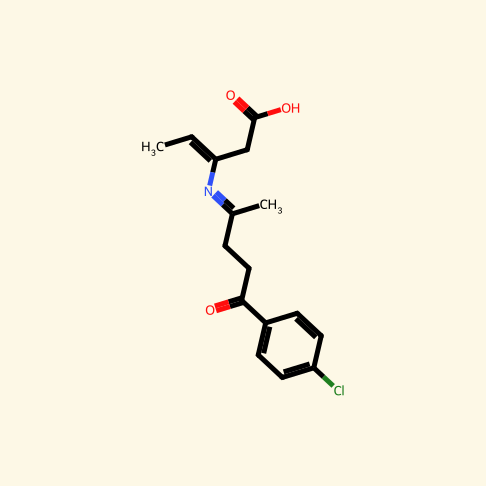 C/C=C(CC(=O)O)\N=C(/C)CCC(=O)c1ccc(Cl)cc1